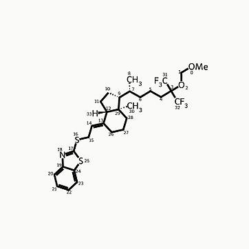 COCOC(CCC[C@@H](C)[C@H]1CC[C@H]2C(=CCSc3nc4ccccc4s3)CCC[C@]12C)(C(F)(F)F)C(F)(F)F